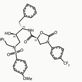 COc1ccc(S(=O)(=O)N(CC(C)C)C[C@@H](O)[C@H](Cc2ccccc2)NC(=O)[C@@H]2CN(c3ccc(C(F)(F)F)cc3)C(=O)O2)cc1